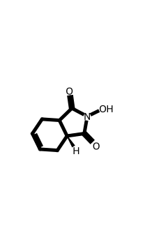 O=C1C2CC=CC[C@H]2C(=O)N1O